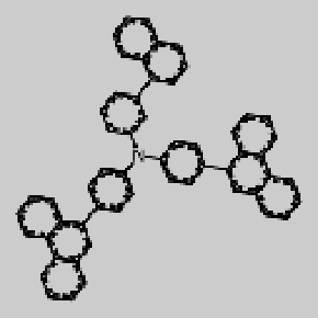 c1cc(-c2cccc3ccccc23)cc(N(c2ccc(-c3cc4ccccc4c4ccccc34)cc2)c2ccc(-c3cc4ccccc4c4ccccc34)cc2)c1